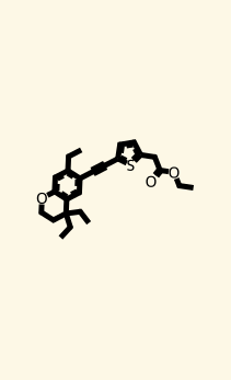 CCOC(=O)Cc1ccc(C#Cc2cc3c(cc2CC)OCCC3(CC)CC)s1